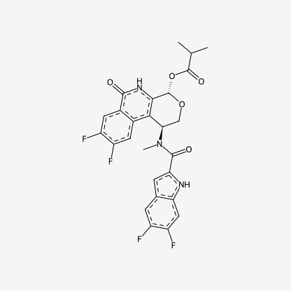 CC(C)C(=O)O[C@@H]1OC[C@@H](N(C)C(=O)c2cc3cc(F)c(F)cc3[nH]2)c2c1[nH]c(=O)c1cc(F)c(F)cc21